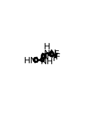 FC(F)(F)c1ccc(Nc2ccc3c(C4CCNCC4)c[nH]c3n2)cn1